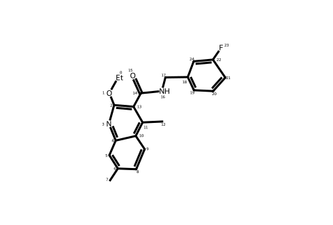 CCOc1nc2cc(C)ccc2c(C)c1C(=O)NCc1cccc(F)c1